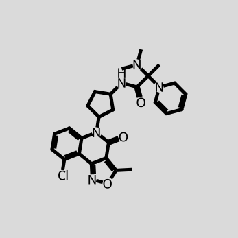 Cc1onc2c1c(=O)n(C1CCC(NC(=O)C(C)(N(C)C)N3C=CC=CC3)C1)c1cccc(Cl)c21